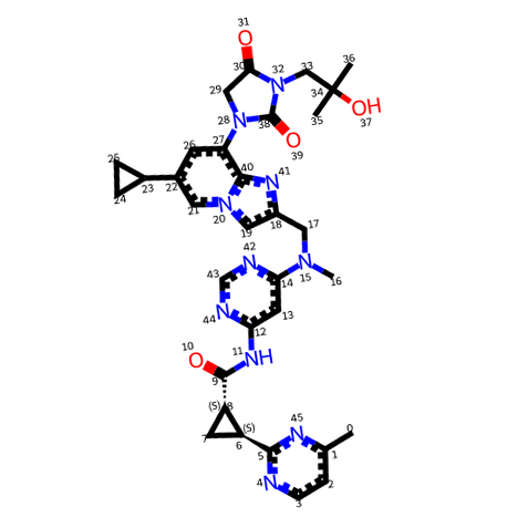 Cc1ccnc([C@H]2C[C@@H]2C(=O)Nc2cc(N(C)Cc3cn4cc(C5CC5)cc(N5CC(=O)N(CC(C)(C)O)C5=O)c4n3)ncn2)n1